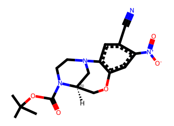 CC(C)(C)OC(=O)N1CCN2C[C@H]1COc1cc([N+](=O)[O-])c(C#N)cc12